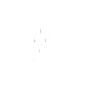 COC(=O)c1cnc(Br)c(Cl)c1